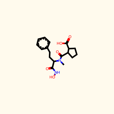 CN(C(=O)C1CCCC1C(=O)O)C(CCc1ccccc1)C(=O)NO